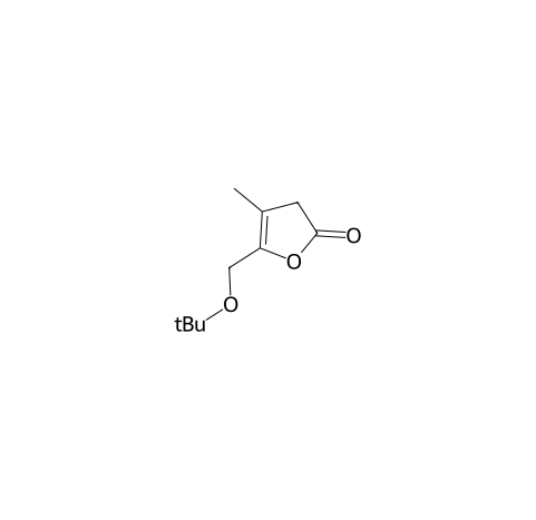 CC1=C(COC(C)(C)C)OC(=O)C1